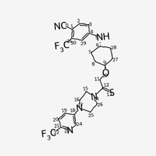 N#Cc1ccc(N[C@H]2CC[C@H](OCC(=S)N3CCN(c4ccc(C(F)(F)F)nc4)CC3)CC2)cc1C(F)(F)F